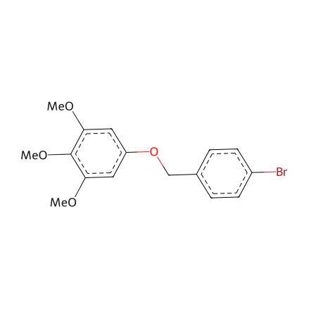 COc1cc(OCc2ccc(Br)cc2)cc(OC)c1OC